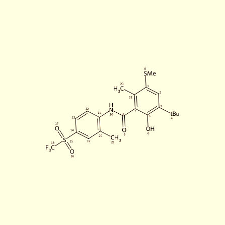 CSc1cc(C(C)(C)C)c(O)c(C(=O)Nc2ccc(S(=O)(=O)C(F)(F)F)cc2C)c1C